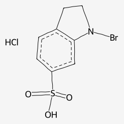 Cl.O=S(=O)(O)c1ccc2c(c1)N(Br)CC2